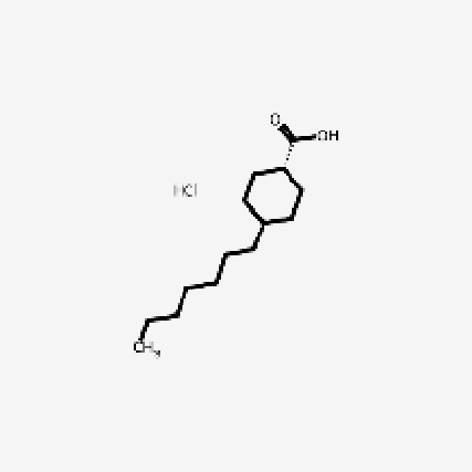 CCCCCCC[C@H]1CC[C@H](C(=O)O)CC1.Cl